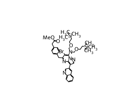 COC(=O)Cc1ccc(Cc2nc3c(-c4cnc5ccccc5c4)cnn3c(N(COCC[Si](C)(C)C)COCC[Si](C)(C)C)c2Br)cc1